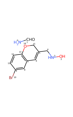 NC=O.ONCC1=Cc2cc(Br)ccc2OC1